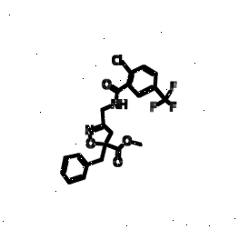 COC(=O)C1(Cc2ccccc2)CC(CNC(=O)c2cc(C(F)(F)F)ccc2Cl)=NO1